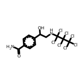 NC(=O)c1ccc(C(O)CNC(Cl)(Cl)C(Cl)(Cl)C(Cl)(Cl)Cl)cc1